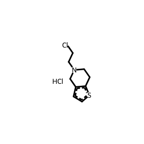 Cl.ClCCN1CCc2sccc2C1